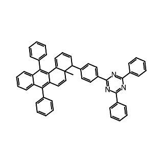 CC12C=Cc3c(c(-c4ccccc4)c4ccccc4c3-c3ccccc3)C1=CC=CC2c1ccc(-c2nc(-c3ccccc3)nc(-c3ccccc3)n2)cc1